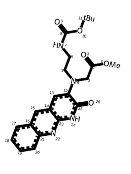 COC(=O)CN(CCNC(=O)OC(C)(C)C)c1cc2cc3ccccc3nc2[nH]c1=O